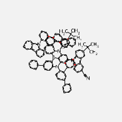 CC(C)(C)c1ccc(N2c3cc(-c4c(-c5ccc6c(c5)sc5ccccc56)cccc4-n4c5ccccc5c5ccccc54)ccc3B3c4cc(-c5ccccc5)ccc4N(c4ccc(-c5ccccc5)cc4-c4ccccc4)c4cc(-n5c6ccc(C#N)cc6c6cc(C(C)(C)C)ccc65)cc2c43)c(-c2ccccc2)c1